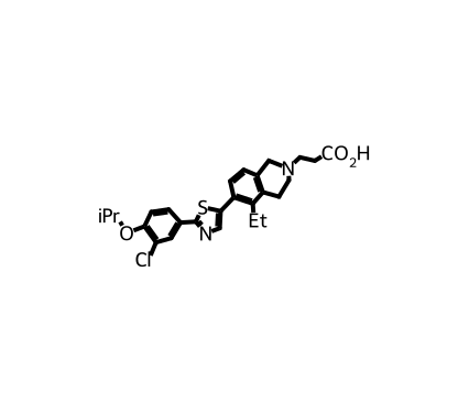 CCc1c(-c2cnc(-c3ccc(OC(C)C)c(Cl)c3)s2)ccc2c1CCN(CCC(=O)O)C2